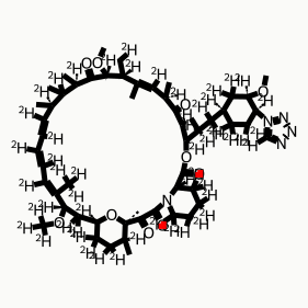 [2H]C[C@]1([2H])/C(C)=C(\[2H])[C@@]([2H])(C)C(=O)C([2H])([2H])[C@@]([2H])([C@]([2H])(C)C([2H])([2H])[C@]2([2H])C([2H])([2H])C([2H])([2H])[C@]([2H])(n3nnnc3[2H])[C@]([2H])(OC)C2([2H])[2H])OC(=O)[C@@]2([2H])N(C(=O)C(=O)[C@]3(C)O[C@@]([2H])(C([2H])([2H])C([2H])([2H])[C@@]3([2H])C)C([2H])([2H])[C@]([2H])(OC([2H])([2H])[2H])/C(C([2H])([2H])[2H])=C([2H])/C([2H])=C([2H])/C([2H])=C(\[2H])[C@@]([2H])(C)C([2H])(C)[C@@]([2H])(C)C(=O)[C@]1([2H])OC)C([2H])([2H])C([2H])([2H])C([2H])([2H])C2([2H])[2H]